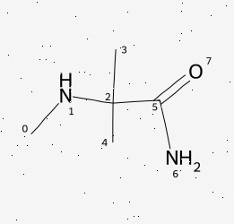 CNC(C)(C)C(N)=O